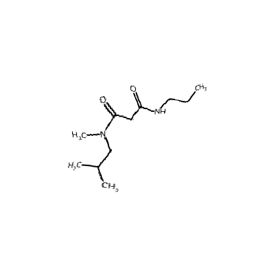 CCCNC(=O)[CH]C(=O)N(C)CC(C)C